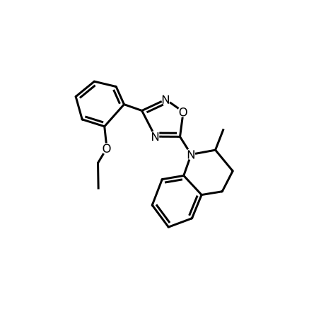 CCOc1ccccc1-c1noc(N2c3ccccc3CCC2C)n1